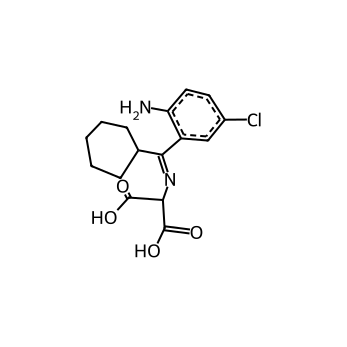 Nc1ccc(Cl)cc1C(=NC(C(=O)O)C(=O)O)C1CCCCC1